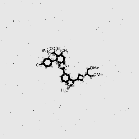 CCOC(=O)[C@@H](OC(C)(C)C)c1c(C)cc2nc(-c3ccc4c(c3)c(C3CN(C(COC)COC)C3)nn4C)sc2c1-c1ccc(Cl)cc1